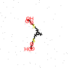 CC(C)(C)c1cc(C(C)(C)CCCSCCOCCC(=O)O)cc(C(C)(C)CCCSCCOCCC(=O)O)c1